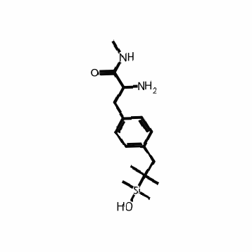 CNC(=O)C(N)Cc1ccc(CC(C)(C)[Si](C)(C)O)cc1